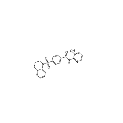 O=C(Nc1ncccc1O)c1ccc(S(=O)(=O)N2CCCc3ccccc32)cc1